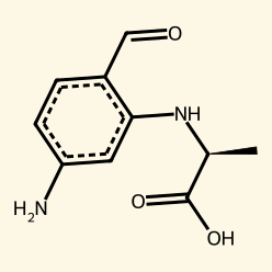 C[C@H](Nc1cc(N)ccc1C=O)C(=O)O